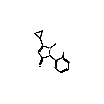 Cn1c(C2CC2)cc(=O)n1-c1ccccc1Cl